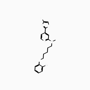 CN(CCCCCOc1ccccc1N=O)c1cc(-c2nc(C(=O)O)co2)ccn1